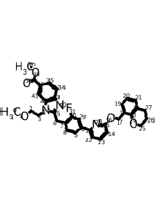 COCCn1c(Cc2ccc(-c3cccc(OCc4cccc5c4OCCC5)n3)cc2F)nc2ccc(C(=O)OC)cc21